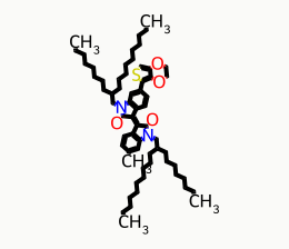 CCCCCCCCCCC(CCCCCCCC)CN1C(=O)/C(=C2/C(=O)N(CC(CCCCCCCC)CCCCCCCCCC)c3cc(-c4scc5c4OCCO5)ccc32)c2ccc(C)cc21